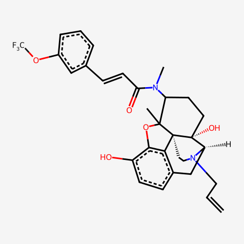 C=CCN1CC[C@]23c4c5ccc(O)c4OC2(C)C(N(C)C(=O)/C=C/c2cccc(OC(F)(F)F)c2)CC[C@@]3(O)[C@H]1C5